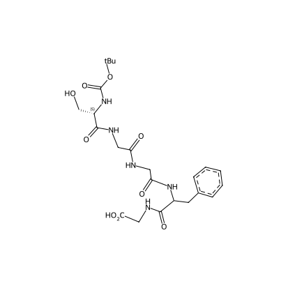 CC(C)(C)OC(=O)N[C@@H](CO)C(=O)NCC(=O)NCC(=O)NC(Cc1ccccc1)C(=O)NCC(=O)O